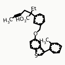 CC#CCC(CC)(C(=O)O)c1cccc(COc2ccc3scc(-c4ccccc4C)c3c2)c1